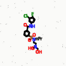 CCCN(CCN(O)CO)S(=O)(=O)c1cccc(C(=O)Nc2ccc(F)c(Cl)c2)c1